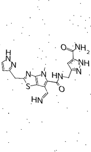 Cn1c(C(=O)NCc2cc(C(N)=O)[nH]n2)c(C=N)c2sc(Cc3cc[nH]n3)nc21